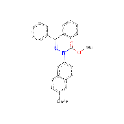 COc1ccc2cc(N(N=C(c3ccccc3)c3ccccc3)C(=O)OC(C)(C)C)ccc2c1